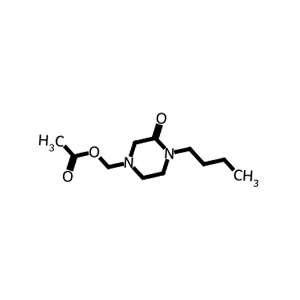 CCCCN1CCN(COC(C)=O)CC1=O